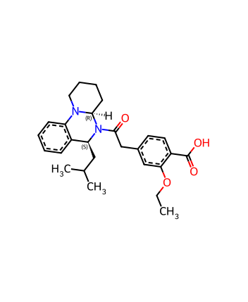 CCOc1cc(CC(=O)N2[C@@H]3CCCCN3c3ccccc3[C@@H]2CC(C)C)ccc1C(=O)O